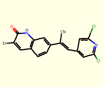 CCc1cc2ccc(/C(C#N)=C/c3cc(Cl)nc(Cl)c3)cc2[nH]c1=O